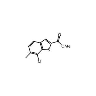 COC(=O)c1cc2ccc(C)c(Cl)c2s1